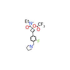 CCN(C)C(=O)C1(OC(=O)C(F)(F)F)C=C(c2ccc(CN3CCCC3)c(F)c2)C1